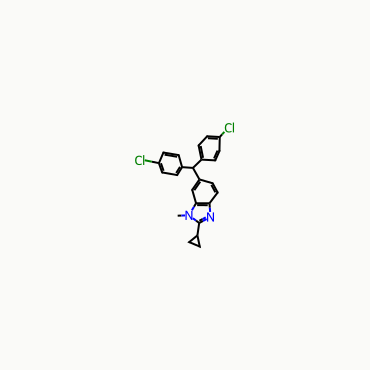 Cn1c(C2CC2)nc2ccc(C(c3ccc(Cl)cc3)c3ccc(Cl)cc3)cc21